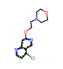 Clc1ccnc2cc(OCCN3CCOCC3)ncc12